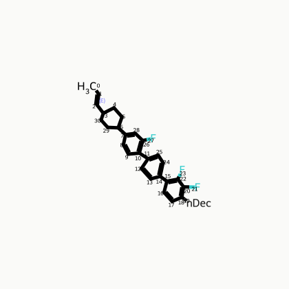 C/C=C/C1CCC(c2ccc(-c3ccc(-c4ccc(CCCCCCCCCC)c(F)c4F)cc3)c(F)c2)CC1